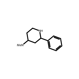 CNC1CCNC(c2ccccc2)C1